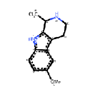 COc1ccc2[nH]c3c(c2c1)CCNC3C(Cl)(Cl)Cl